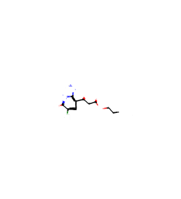 CCCOC(=O)CC(=O)c1cc(Cl)c(O)nc1NC